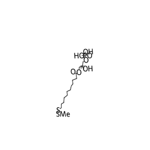 CSSCCCCCCCCCCCC(=O)OC[C@@H](O)COP(=O)(O)O